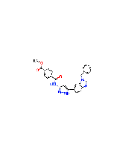 COC(=O)c1ccc(C(=O)Nc2cc(-c3ccc4ncn(Cc5ccccc5)c4c3)[nH]n2)cc1